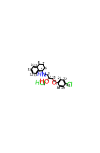 Cl.OC(CNC1CCCc2ccccc21)COc1ccc(Cl)cc1